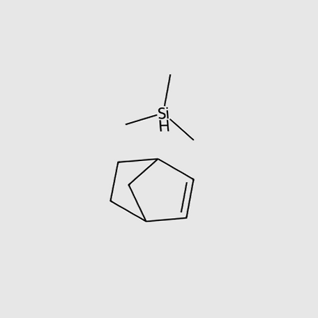 C1=CC2CCC1C2.C[SiH](C)C